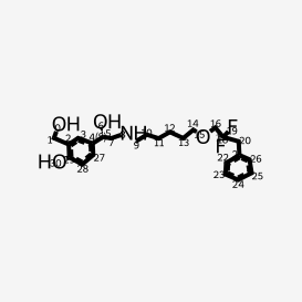 OCc1cc([C@H](O)CNCCCCCCOCC(F)(F)Cc2ccccc2)ccc1O